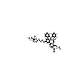 CCC(C(=O)O)N1CC(=O)N(C(c2ccccc2)c2ccccc2)c2ccc(OCCCCNC(=N)N)cc2C1=O